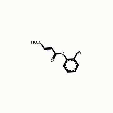 CC(C)c1ccccc1OC(=O)/C=C/C(=O)O